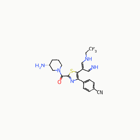 N#Cc1ccc(-c2nc(C(=O)N3CCC[C@@H](N)C3)sc2/C(C=N)=C/NCC(F)(F)F)cc1